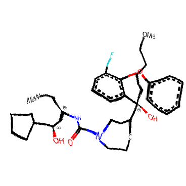 CNC[C@@H](NC(=O)N1CCCC([C@@](O)(CCCCOC)c2cccc(F)c2Oc2ccccc2)C1)[C@@H](O)C1CCCC1